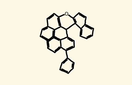 c1ccc(-c2ccc(C3c4c(ccc5ccccc45)Oc4ccc5ccccc5c43)c3ccccc23)cc1